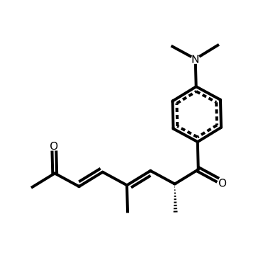 CC(=O)/C=C/C(C)=C/[C@@H](C)C(=O)c1ccc(N(C)C)cc1